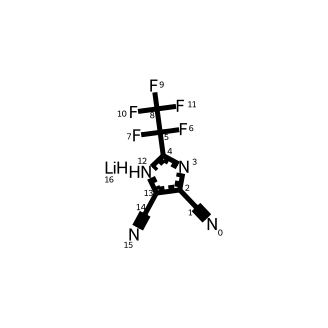 N#Cc1nc(C(F)(F)C(F)(F)F)[nH]c1C#N.[LiH]